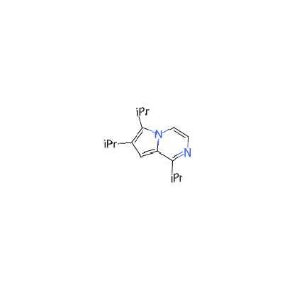 CC(C)c1cc2c(C(C)C)nccn2c1C(C)C